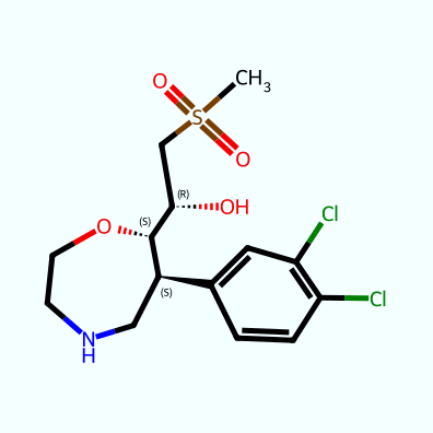 CS(=O)(=O)C[C@H](O)[C@H]1OCCNC[C@@H]1c1ccc(Cl)c(Cl)c1